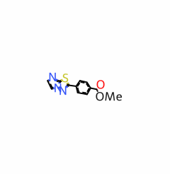 COC(=O)c1ccc(-c2nn3ccnc3s2)cc1